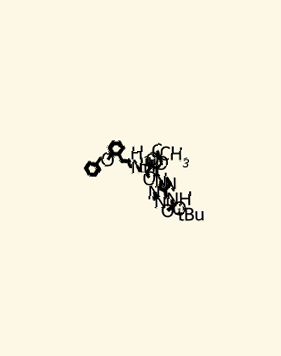 CC(C)(C)OC(=O)Nc1ncnc2c1ncn2[C@@H]1O[C@H](CNC/C=C/c2ccccc2OCc2ccccc2)[C@@H]2OC(C)(C)OC21